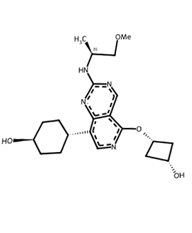 COC[C@H](C)Nc1ncc2c(O[C@H]3C[C@@H](O)C3)ncc([C@H]3CC[C@H](O)CC3)c2n1